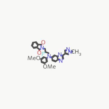 COc1cc(OC)cc(N(CC(F)CN2C(=O)c3ccccc3C2=O)c2ccc3ncc(-c4cnn(C)c4)nc3c2)c1